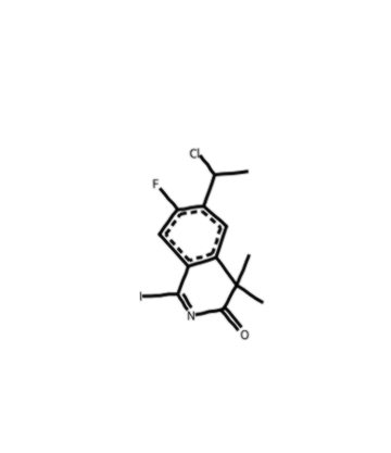 CC(Cl)c1cc2c(cc1F)C(I)=NC(=O)C2(C)C